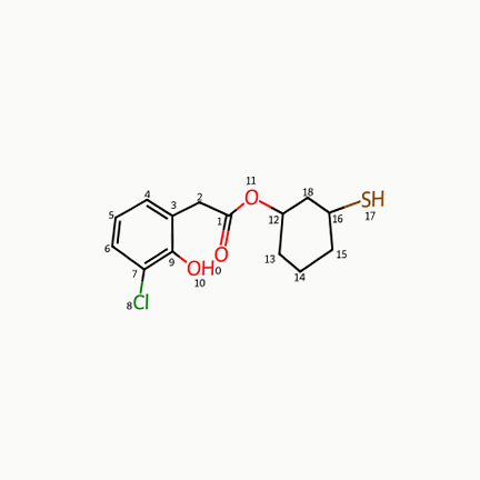 O=C(Cc1cccc(Cl)c1O)OC1CCCC(S)C1